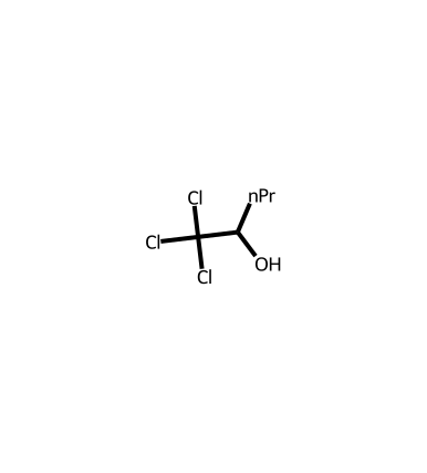 CCCC(O)C(Cl)(Cl)Cl